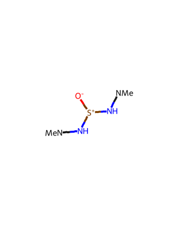 CNN[S+]([O-])NNC